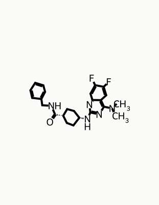 CN(C)c1nc(N[C@H]2CC[C@@H](C(=O)NCc3ccccc3)CC2)nc2cc(F)c(F)cc12